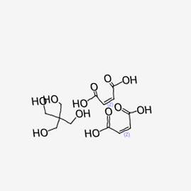 O=C(O)/C=C\C(=O)O.O=C(O)/C=C\C(=O)O.OCC(CO)(CO)CO